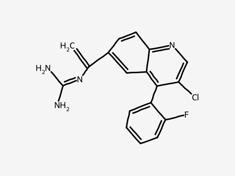 C=C(N=C(N)N)c1ccc2ncc(Cl)c(-c3ccccc3F)c2c1